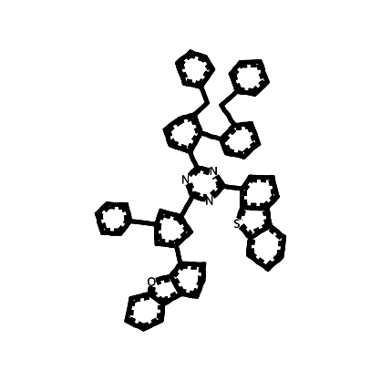 c1ccc(Cc2ccccc2-c2c(Cc3ccccc3)cccc2-c2nc(-c3cc(-c4ccccc4)cc(-c4cccc5c4oc4ccccc45)c3)nc(-c3cccc4c3sc3ccccc34)n2)cc1